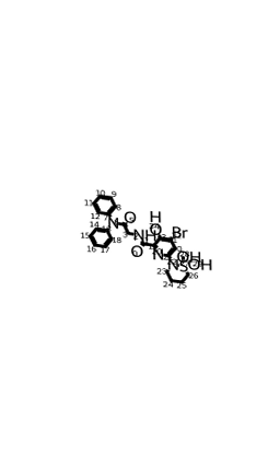 O=C(NCC(=O)N(c1ccccc1)c1ccccc1)c1nc(N2CCCCS2(O)O)cc(Br)c1O